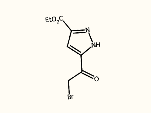 CCOC(=O)c1cc(C(=O)CBr)[nH]n1